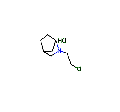 Cl.ClCCN1CC2CCC1C2